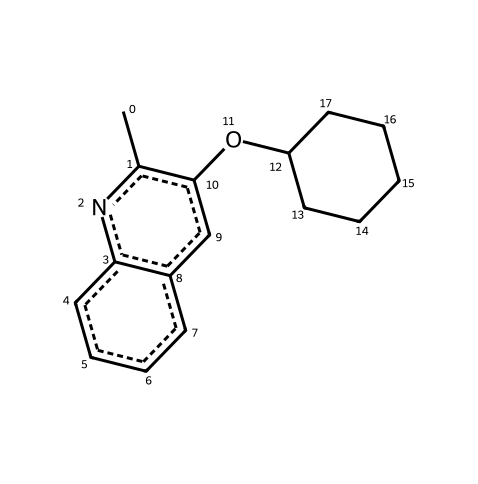 Cc1nc2ccccc2cc1OC1CCCCC1